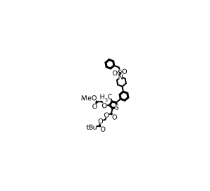 COC(=O)COc1c(C(=O)OCOC(=O)C(C)(C)C)sc(-c2cccc(C3CCN(S(=O)(=O)Cc4ccccc4)CC3)c2)c1C